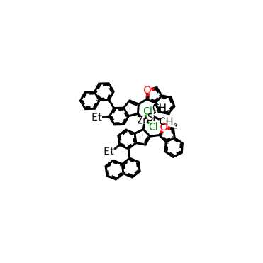 CCc1ccc2c(c1-c1cccc3ccccc13)C=C(c1occ3ccccc13)[CH]2[Zr]([Cl])([Cl])([CH]1C(c2occ3ccccc23)=Cc2c1ccc(CC)c2-c1cccc2ccccc12)=[Si](C)C